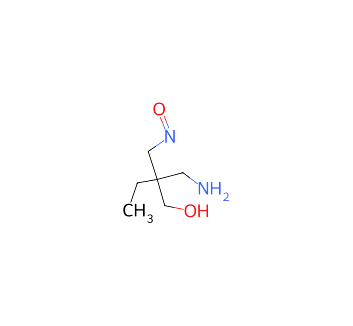 CCC(CN)(CO)CN=O